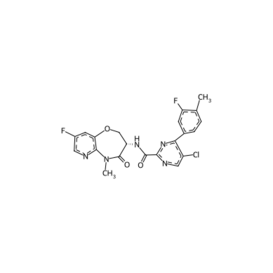 Cc1ccc(-c2nc(C(=O)N[C@H]3COc4cc(F)cnc4N(C)C3=O)ncc2Cl)cc1F